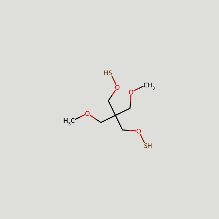 COCC(COC)(COS)COS